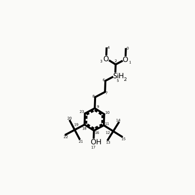 COC(OC)[SiH2]CCCc1cc(C(C)(C)C)c(O)c(C(C)(C)C)c1